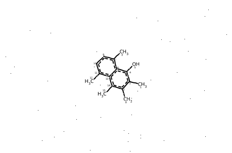 Cc1c(C)c(O)c2c(C)ccc(C)c2c1C